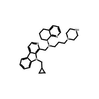 c1cnc2c(c1)CCC[C@@H]2N(CCCN1CCNCC1)Cc1nccc2c3ccccc3n(CC3CC3)c12